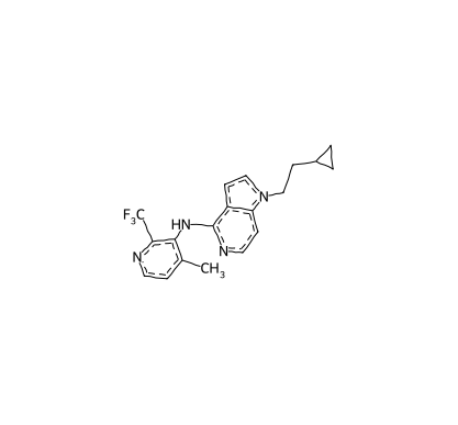 Cc1ccnc(C(F)(F)F)c1Nc1nccc2c1ccn2CCC1CC1